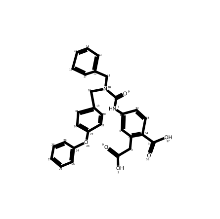 O=C(O)Cc1cc(NC(=O)N(Cc2ccccc2)Cc2ccc(Oc3ccccc3)cc2)ccc1C(=O)O